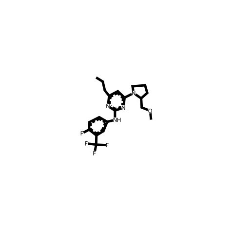 CCCc1cc(N2CCCC2COC)nc(Nc2ccc(F)c(C(F)(F)F)c2)n1